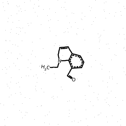 CCN1CC=Cc2cccc(C=O)c21